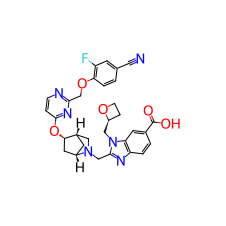 N#Cc1ccc(OCc2nccc(O[C@@H]3C[C@@H]4C[C@H]3CN4Cc3nc4ccc(C(=O)O)cc4n3C[C@@H]3CCO3)n2)c(F)c1